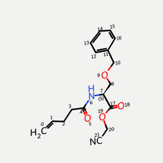 C=CCCC(=O)N[C@@H](COCc1ccccc1)C(=O)OCC#N